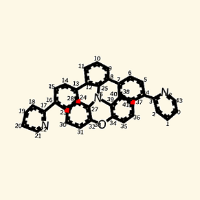 c1ccc(-c2ccc(-c3cccc(-c4ccc(-c5ccccn5)cc4)c3N3c4ccccc4Oc4ccccc43)cc2)nc1